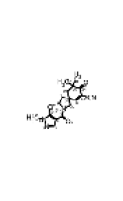 Cn1ncc(C(=O)N2CC[C@@]3(C=C(C#N)C(=O)C(C)(C)C3)C2)c1C(F)(F)F